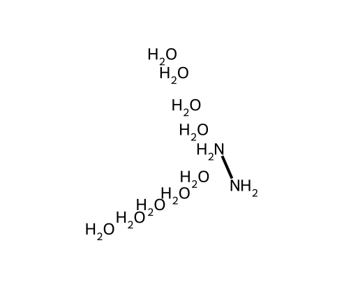 NN.O.O.O.O.O.O.O.O.O